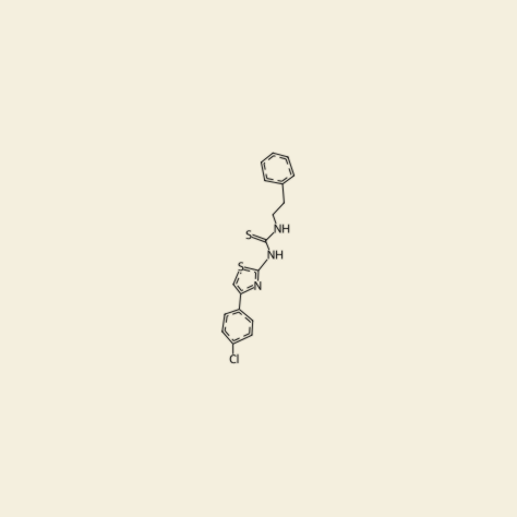 S=C(NCCc1ccccc1)Nc1nc(-c2ccc(Cl)cc2)cs1